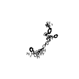 CC(C)[C@@H](NO[C@H](O)[C@H](N)Cc1ccccc1)ONCCOCCOCCN1CCC(CNC(=O)c2cccc(-c3noc(C(F)(F)F)n3)c2)(c2nc(-c3ccccc3)cs2)CC1